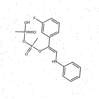 CP(=O)(O)OP(C)(=O)OC(=CNc1ccccc1)c1cccc(F)c1